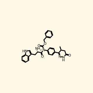 CC1CC(=O)NN=C1c1ccc(N(C(=O)OCc2ccccc2)C(=O)[C@@H](N)Cc2c[nH]c3ccccc23)cc1